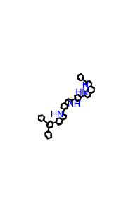 C1=CC2=CC=C(c3ccc4c(c3)NC(c3ccc(C5C=Cc6ccc7ccc(-c8ccccc8)nc7c6N5)cc3)C=C4)NC2C=C1c1cc(-c2ccccc2)cc(-c2ccccc2)c1